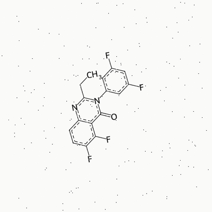 CCc1nc2ccc(F)c(F)c2c(=O)n1-c1cc(F)cc(F)c1